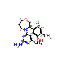 Cc1cc(N2CCCOCC2c2cc(O)c(C)cc2Cl)nc(N)n1